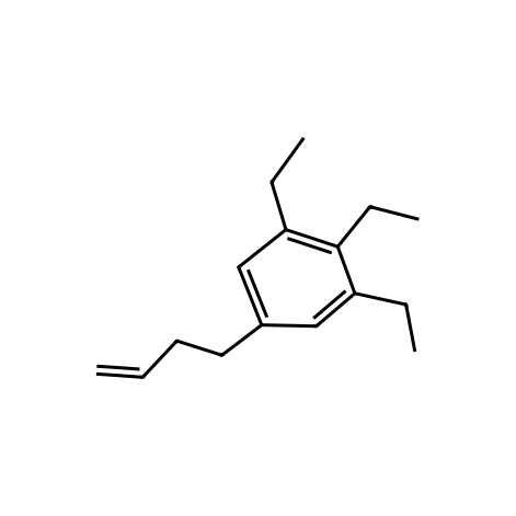 C=CCCc1cc(CC)c(CC)c(CC)c1